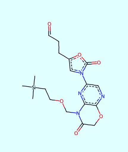 C[Si](C)(C)CCOCN1C(=O)COc2ncc(-n3cc(CCC=O)oc3=O)nc21